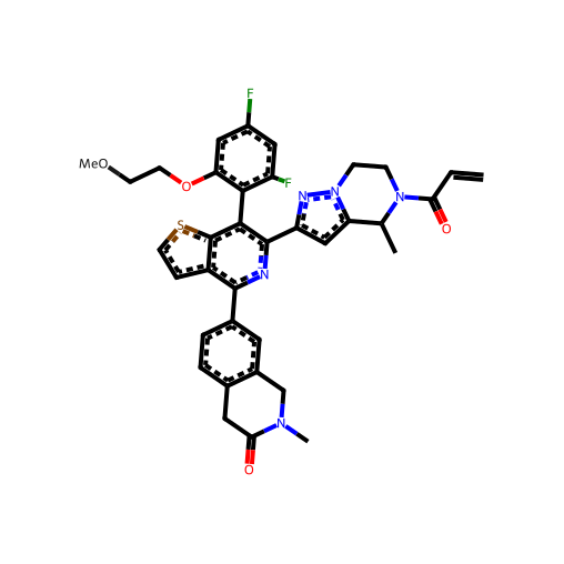 C=CC(=O)N1CCn2nc(-c3nc(-c4ccc5c(c4)CN(C)C(=O)C5)c4ccsc4c3-c3c(F)cc(F)cc3OCCOC)cc2C1C